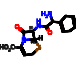 NC(C(=O)N[C@@H]1C(=O)N2C(C(=O)O)=CCS[C@H]12)C1=CCC=CC1